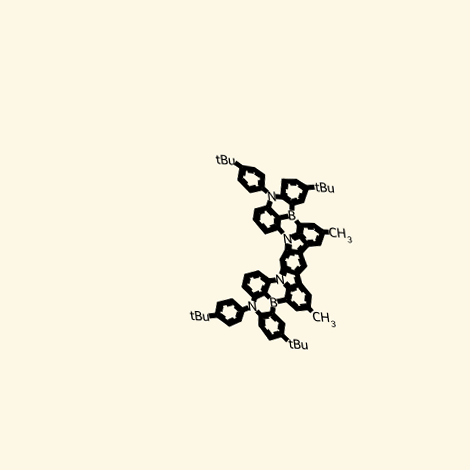 Cc1cc2c3c(c1)c1cc4c5cc(C)cc6c5n(c4cc1n3-c1cccc3c1B2c1cc(C(C)(C)C)ccc1N3c1ccc(C(C)(C)C)cc1)-c1cccc2c1B6c1cc(C(C)(C)C)ccc1N2c1ccc(C(C)(C)C)cc1